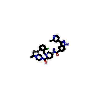 C=C(C)N1CCN(C(=O)[C@@H]2CC[C@@H](NC(=O)c3ccc4[nH]nc(-c5ccnc(C)c5)c4c3)CN2Cc2c(F)cccc2OC)CC1